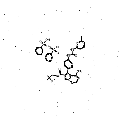 Cc1cccc(NC(=O)Nc2ccc(-c3c(C(=O)NCC(F)(F)F)cn4ncnc(N)c34)cc2)n1.O=S(=O)(O)c1ccccc1.O=S(=O)(O)c1ccccc1